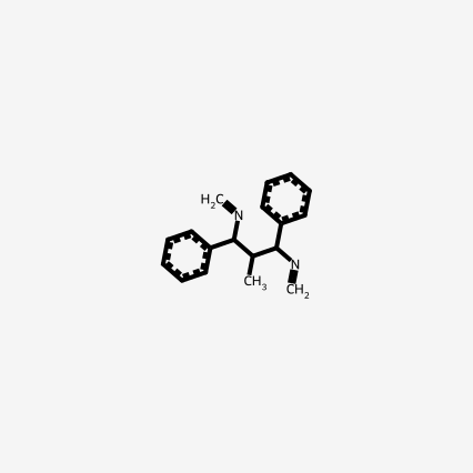 C=NC(c1ccccc1)C(C)C(N=C)c1ccccc1